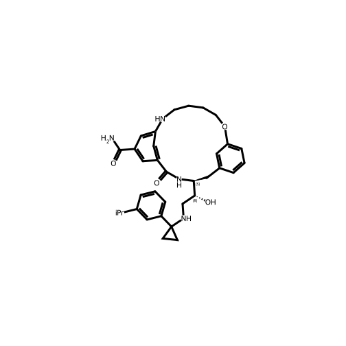 CC(C)c1cccc(C2(NC[C@@H](O)[C@@H]3Cc4cccc(c4)OCCCCNc4cc(C(N)=O)cc(c4)C(=O)N3)CC2)c1